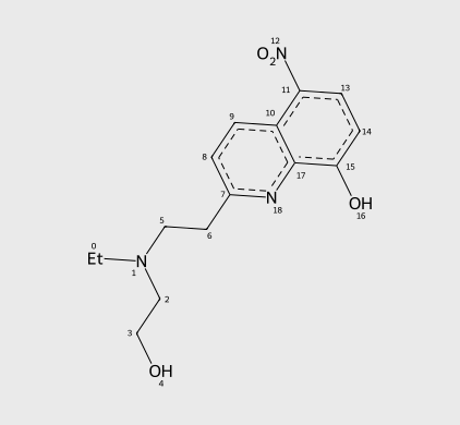 CCN(CCO)CCc1ccc2c([N+](=O)[O-])ccc(O)c2n1